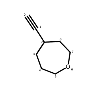 C#CC1CCCOCC1